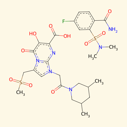 CC1CC(C)CN(C(=O)Cn2cc(CS(C)(=O)=O)n3c(=O)c(O)c(C(=O)O)nc23)C1.CN(C)S(=O)(=O)c1cc(F)ccc1C(N)=O